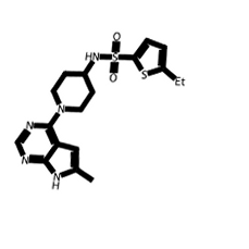 CCc1ccc(S(=O)(=O)NC2CCN(c3ncnc4[nH]c(C)cc34)CC2)s1